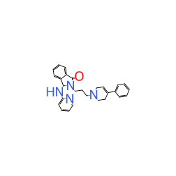 O=C1c2ccccc2C(Nc2ccccn2)N1CCCN1CC=C(c2ccccc2)CC1